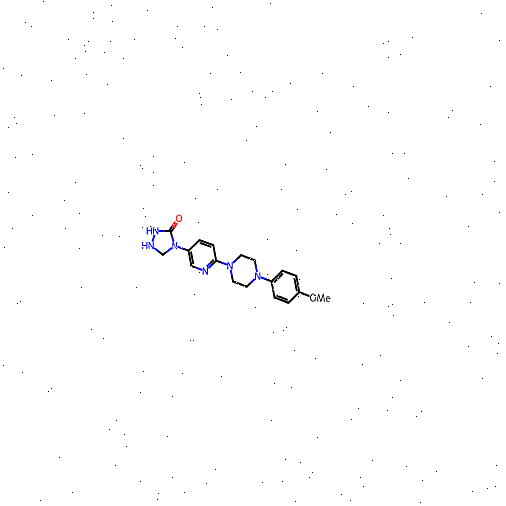 COc1ccc(N2CCN(c3ccc(N4CNNC4=O)cn3)CC2)cc1